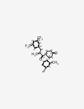 Cc1cc(F)ccc1[C@H]1CC(=O)CCN1C(=O)N(C)Cc1cc(C(F)(F)F)cc(C(F)(F)F)c1